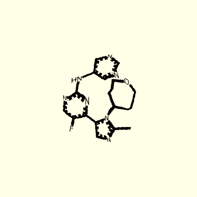 Cc1ncc(-c2nc(Nc3cncnc3)ncc2F)n1C1CCOCC1